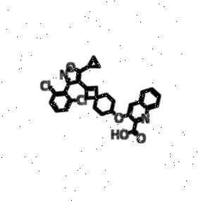 O=C(O)c1nc2ccccc2cc1OC1CCC2(C=C(c3c(-c4c(Cl)cccc4Cl)noc3C3CC3)C2)CC1